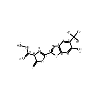 C=C1SC(c2nc3cc(C(F)(F)F)c(O)cc3s2)=NC1C(=O)NS